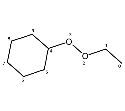 CCOOC1CCCCC1